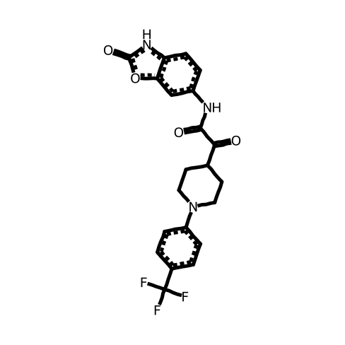 O=C(Nc1ccc2[nH]c(=O)oc2c1)C(=O)C1CCN(c2ccc(C(F)(F)F)cc2)CC1